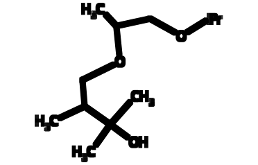 CC(C)OCC(C)OCC(C)C(C)(C)O